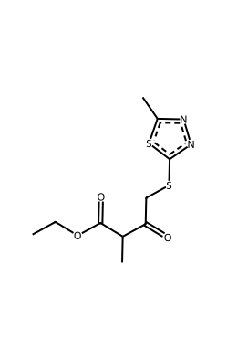 CCOC(=O)C(C)C(=O)CSc1nnc(C)s1